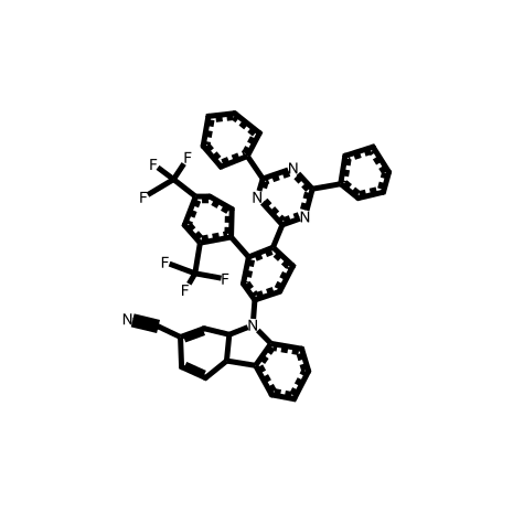 N#CC1=CC2C(C=C1)c1ccccc1N2c1ccc(-c2nc(-c3ccccc3)nc(-c3ccccc3)n2)c(-c2ccc(C(F)(F)F)cc2C(F)(F)F)c1